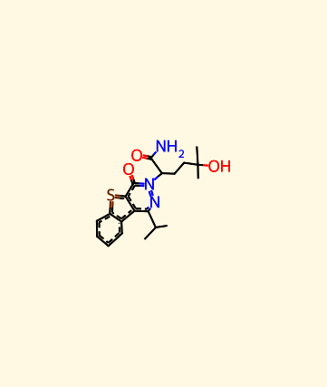 CC(C)c1nn(C(CCC(C)(C)O)C(N)=O)c(=O)c2sc3ccccc3c12